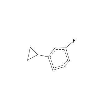 Fc1c[c]cc(C2CC2)c1